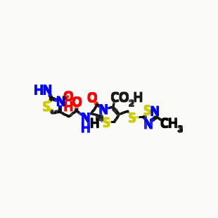 Cc1nsc(SCC2=C(C(=O)O)N3C(=O)C(NC(=O)Cc4csc(=N)n4O)[C@@H]3SC2)n1